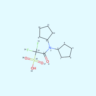 O=C(N(C1CCCC1)C1CCCC1)C(F)(F)S(=O)(=O)O